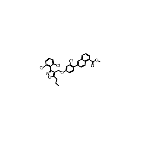 CCCc1onc(-c2c(Cl)cccc2Cl)c1COc1ccc(-c2ccc3c(C(=O)OC)cccc3c2)c(Cl)c1